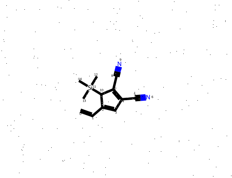 C=CC1=CC(C#N)=C(C#N)C1[Si](C)(C)C